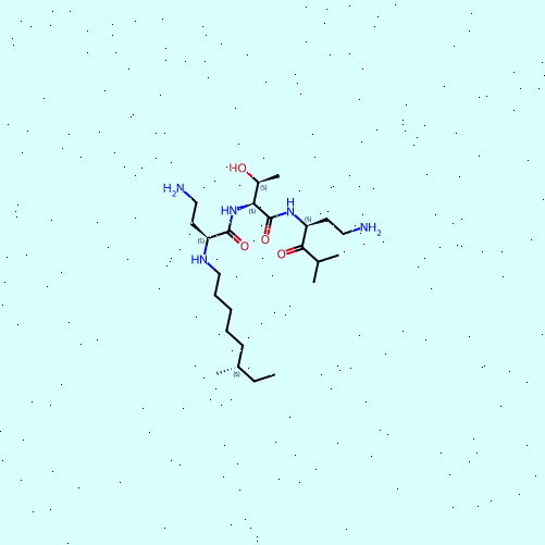 CC[C@H](C)CCCCCN[C@@H](CCN)C(=O)N[C@H](C(=O)N[C@@H](CCN)C(=O)C(C)C)[C@H](C)O